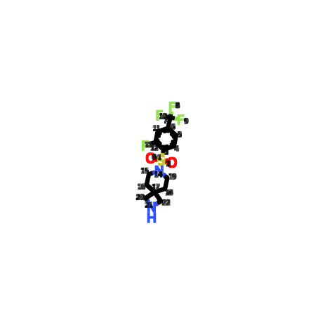 O=S(=O)(c1ccc(C(F)(F)F)cc1F)N1CCC2(CC1)CNC2